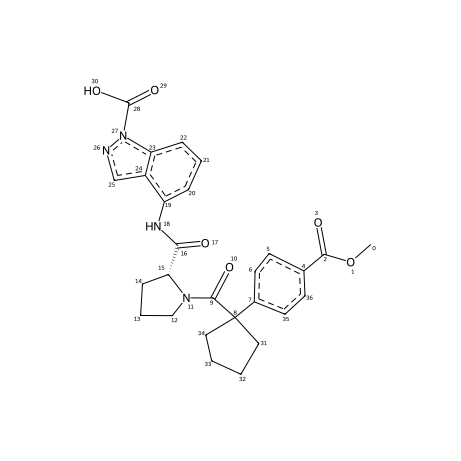 COC(=O)c1ccc(C2(C(=O)N3CCC[C@@H]3C(=O)Nc3cccc4c3cnn4C(=O)O)CCCC2)cc1